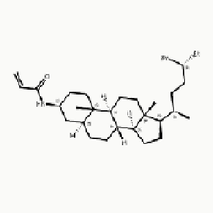 C=CC(=O)N[C@H]1CC[C@@]2(C)[C@@H](CC[C@@H]3[C@@H]2CC[C@]2(C)[C@@H]([C@H](C)CC[C@@H](CC)C(C)C)CC[C@@H]32)C1